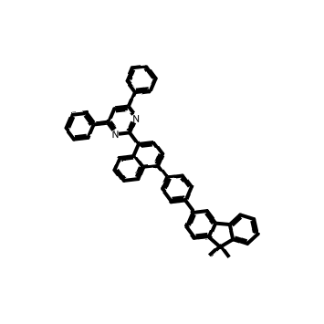 CC1(C)c2ccccc2-c2cc(-c3ccc(-c4ccc(-c5nc(-c6ccccc6)cc(-c6ccccc6)n5)c5ccccc45)cc3)ccc21